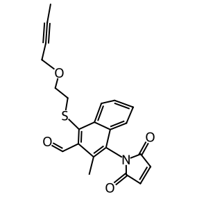 CC#CCOCCSc1c(C=O)c(C)c(N2C(=O)C=CC2=O)c2ccccc12